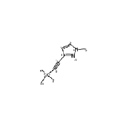 Cn1ccc(C#C[Si](C)(C)C)n1